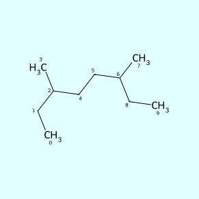 CCC(C)CCC(C)CC